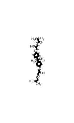 C=C(C)COOCC(O)COc1ccc(C(C)(C)c2ccc(OCC(O)COC(=O)C(=C)C)cc2)cc1